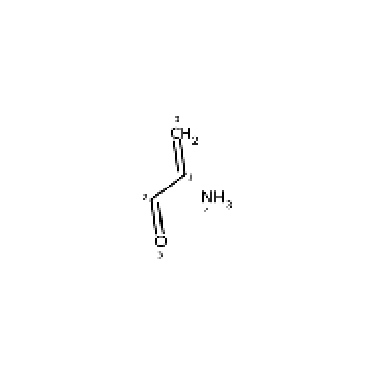 C=CC=O.N